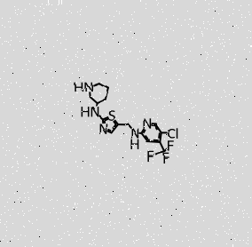 FC(F)(F)c1cc(NCc2cnc(NC3CCCNC3)s2)ncc1Cl